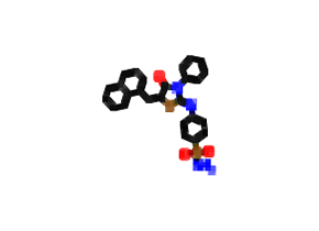 NS(=O)(=O)c1ccc(/N=C2\SC(=Cc3cccc4ccccc34)C(=O)N2c2ccccc2)cc1